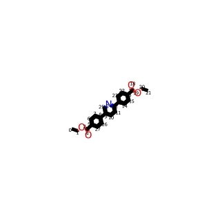 CCOC(=O)c1ccc(-c2ccc(-c3ccc(C(=O)OCC)cc3)nc2)cc1